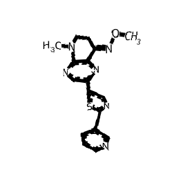 CO/N=C1\CCN(C)c2ncc(-c3cnc(-c4cccnc4)s3)nc21